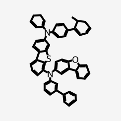 CC1CC=CC=C1c1ccc(N(C2=CCCC=C2)c2ccc3c(c2)sc2c(N(c4cccc(-c5ccccc5)c4)c4ccc5oc6ccccc6c5c4)cccc23)cc1